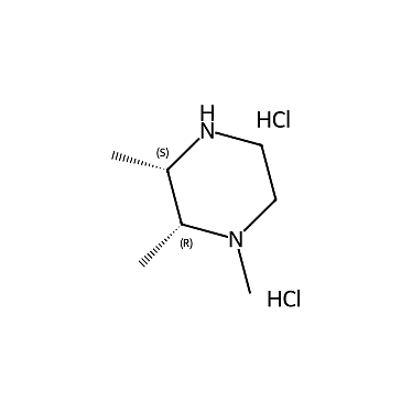 C[C@@H]1NCCN(C)[C@@H]1C.Cl.Cl